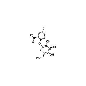 O=[N+]([O-])c1cc(F)ccc1O[C@@H]1O[C@H](CO)[C@H](O)[C@H](O)[C@H]1O